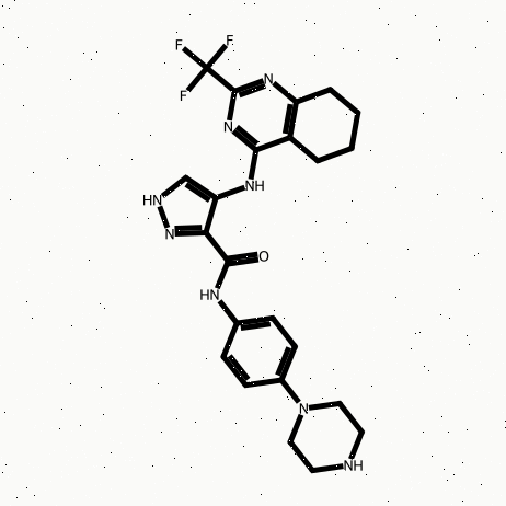 O=C(Nc1ccc(N2CCNCC2)cc1)c1n[nH]cc1Nc1nc(C(F)(F)F)nc2c1CCCC2